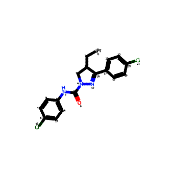 CC(C)CC1CN(C(=O)Nc2ccc(Cl)cc2)N=C1c1ccc(Cl)cc1